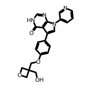 O=c1[nH]cnc2c1c(-c1ccc(OCC3(CO)COC3)cc1)cn2-c1cccnc1